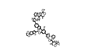 COC(=O)N[C@H](C(=O)N1CCC[C@H]1C1=NCC(c2cc(F)c3c(c2)OC(c2cc4c(s2)CC2(C4)OCCO2)n2c-3cc3cc(-c4cnc([C@@H]5CCCN5C(=O)[C@@H](NC(=O)OC)C(C)C)[nH]4)ccc32)=N1)C(C)C